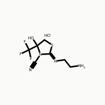 Cl.N#CN1/C(=N/CCN)SCC1(O)C(F)(F)F